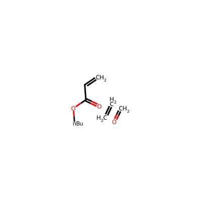 C=C.C=CC(=O)OCCCC.C=O